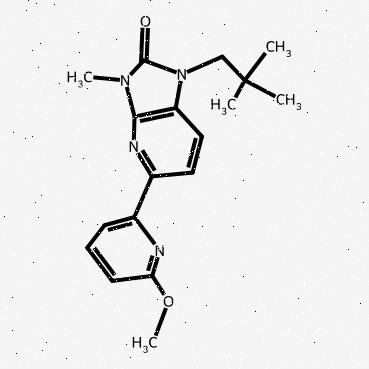 COc1cccc(-c2ccc3c(n2)n(C)c(=O)n3CC(C)(C)C)n1